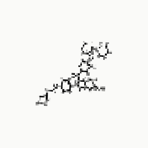 O=C(c1ccc(O[C@H]2CCCC[C@@H]2N2CCCCC2)c(F)c1)c1c(-c2ccc(OCCN3CCCC3)cc2)sc2cc(O)ccc12